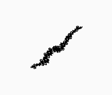 C=CC(=O)OCCCCOC(=O)OC1=CC=C(C(=O)Oc2ccc(C(=O)O[C@H]3CO[C@H]4[C@@H]3OC[C@H]4OC(=O)c3ccc(OC(=O)c4ccc(OC(=O)OCCCCOC(=O)C=C)cc4)cc3)cc2)CC1